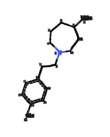 CNC1CCCN(CCc2ccc(C(C)(C)C)cc2)CC1